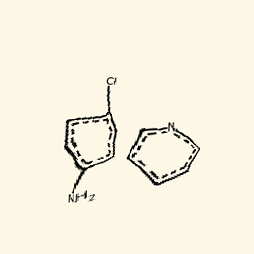 Nc1ccc(Cl)cc1.c1ccncc1